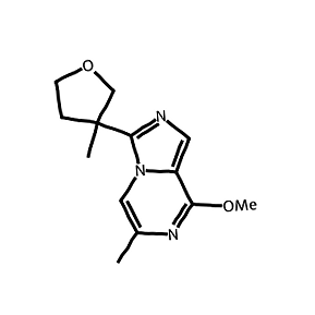 COc1nc(C)cn2c(C3(C)CCOC3)ncc12